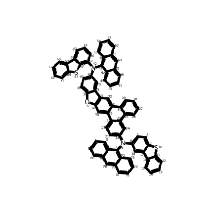 c1ccc2c(N(c3ccc4sc5ccccc5c4c3)c3ccc4c(c3)c3ccccc3c3cc5c(cc43)oc3ccc(N(c4c6ccccc6cc6ccccc46)c4cccc6c4sc4ccccc46)cc35)c3ccccc3cc2c1